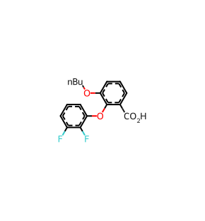 CCCCOc1cccc(C(=O)O)c1Oc1cccc(F)c1F